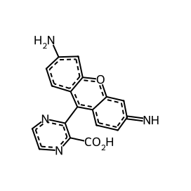 N=c1ccc2c(-c3nccnc3C(=O)O)c3ccc(N)cc3oc-2c1